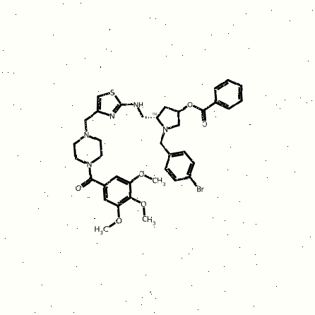 COc1cc(C(=O)N2CCN(Cc3csc(NC[C@@H]4CC(OC(=O)c5ccccc5)CN4Cc4ccc(Br)cc4)n3)CC2)cc(OC)c1OC